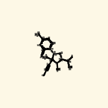 CC#C[C@@]1(N)C(O)[C@@H]([C@@H](C)O)O[C@H]1n1ncc(N)nc1=O